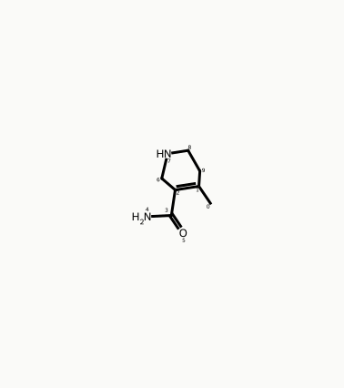 CC1=C(C(N)=O)CNCC1